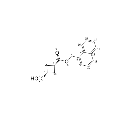 O=C(O)[C@H]1C[C@@H](C(=O)OCc2cccc3ccccc23)C1